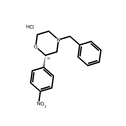 Cl.O=[N+]([O-])c1ccc([C@H]2CN(Cc3ccccc3)CCO2)cc1